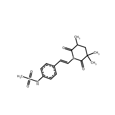 CC1CC(C)(C)C(=O)B(/C=C/c2ccc(NS(C)(=O)=O)cc2)C1=O